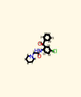 O=C(CN1CCCCC1)Nc1ccc(Cl)cc1C(=O)c1ccccc1